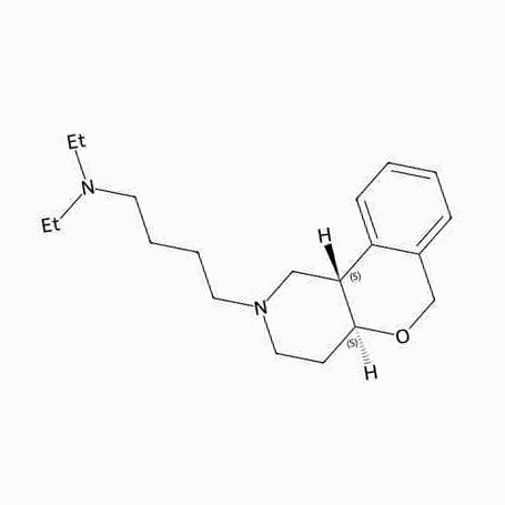 CCN(CC)CCCCN1CC[C@@H]2OCc3ccccc3[C@H]2C1